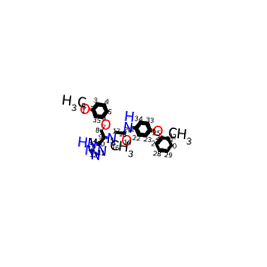 COc1cccc(OCC(c2nnn[nH]2)N(C)CC(=O)Nc2ccc(OC3=CC=CCC3C)cc2)c1